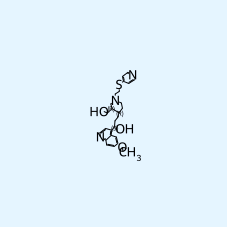 COc1ccc2nccc([C@@H](O)CC[C@@H]3CCN(CCSc4ccncc4)C[C@@H]3CO)c2c1